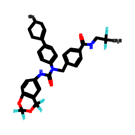 CC(C)(C)C1CC=C(c2ccc(N(Cc3ccc(C(=O)NCC(F)(F)C(=O)O)cc3)C(=O)Nc3ccc4c(c3)C(F)(F)OC(F)(F)O4)cc2)CC1